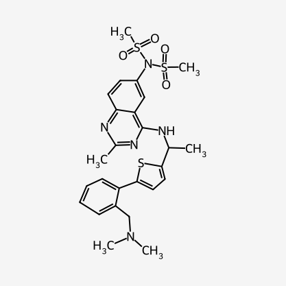 Cc1nc(NC(C)c2ccc(-c3ccccc3CN(C)C)s2)c2cc(N(S(C)(=O)=O)S(C)(=O)=O)ccc2n1